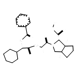 CC(C)[C@H](NC(=O)[C@@H](NC(=O)c1cnccn1)C1CCCCC1)C(=O)N1C[C@@H]2CCC[C@@H]2[C@H]1C(=O)OC(C)(C)C